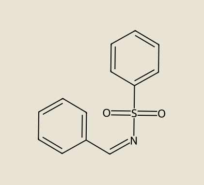 O=S(=O)(/N=C\c1ccccc1)c1ccccc1